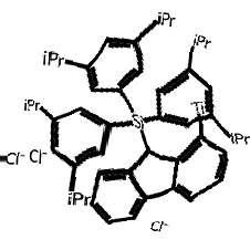 CC(C)c1cc(C(C)C)cc([Si](c2cc(C(C)C)cc(C(C)C)c2)(c2cc(C(C)C)cc(C(C)C)c2)C2c3ccccc3-c3ccc[c]([Ti+3])c32)c1.[Cl-].[Cl-].[Cl-]